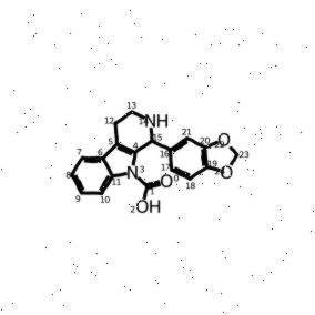 O=C(O)n1c2c(c3ccccc31)CCNC2c1ccc2c(c1)OCO2